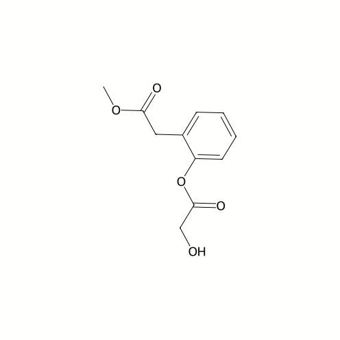 COC(=O)Cc1ccccc1OC(=O)CO